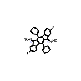 [C-]#[N+]/N=c1\c2cc(F)ccc2c2c(-c3ccccc3)c3/c(=N/C#N)c4cc(F)ccc4c3c(-c3ccccc3)c12